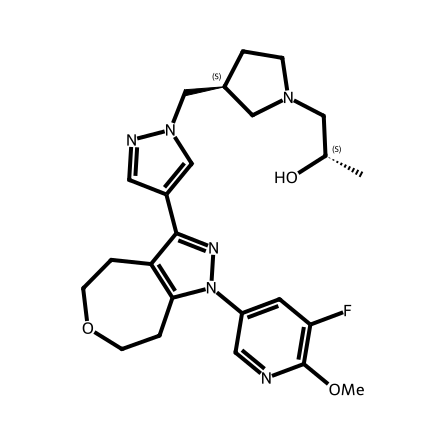 COc1ncc(-n2nc(-c3cnn(C[C@H]4CCN(C[C@H](C)O)C4)c3)c3c2CCOCC3)cc1F